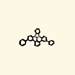 c1ccc(-c2ccc3c(c2)-c2cccc4c2B2N3c3ccccc3N2c2ccc(-c3ccccc3)cc2-4)cc1